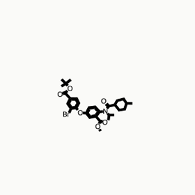 COC(=O)c1cc(Oc2ccc(C(=O)OC(C)(C)C)cc2Br)ccc1N(C(=O)C1CCC(C)CC1)C(C)C